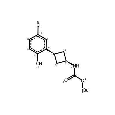 CC(C)(C)OC(=O)N[C@H]1C[C@@H](c2cc(Cl)ccc2C#N)C1